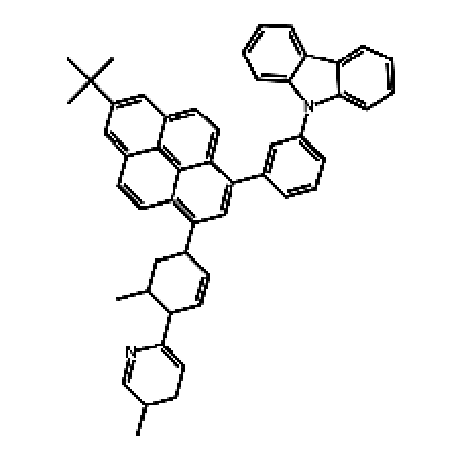 CC1C=NC(C2C=CC(c3cc(-c4cccc(-n5c6ccccc6c6ccccc65)c4)c4ccc5cc(C(C)(C)C)cc6ccc3c4c56)CC2C)=CC1